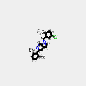 CCc1cccc(CC)c1-c1cc2ccn(Cc3cc(Cl)ccc3C(F)(F)F)c2cn1